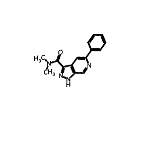 CN(C)C(=O)c1n[nH]c2cnc(-c3ccccc3)cc12